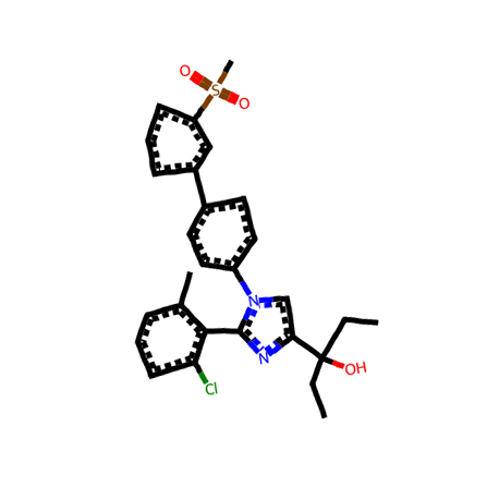 CCC(O)(CC)c1cn(-c2ccc(-c3cccc(S(C)(=O)=O)c3)cc2)c(-c2c(C)cccc2Cl)n1